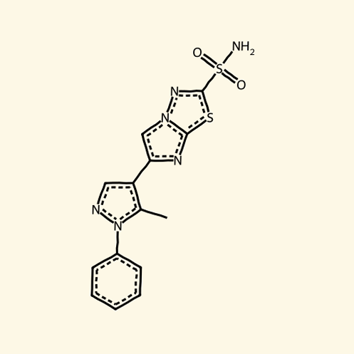 Cc1c(-c2cn3nc(S(N)(=O)=O)sc3n2)cnn1-c1ccccc1